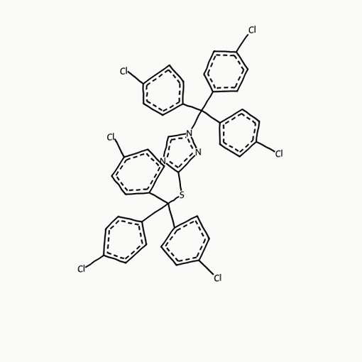 Clc1ccc(C(Sc2ncn(C(c3ccc(Cl)cc3)(c3ccc(Cl)cc3)c3ccc(Cl)cc3)n2)(c2ccc(Cl)cc2)c2ccc(Cl)cc2)cc1